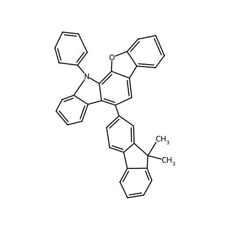 CC1(C)c2ccccc2-c2ccc(-c3cc4c5ccccc5oc4c4c3c3ccccc3n4-c3ccccc3)cc21